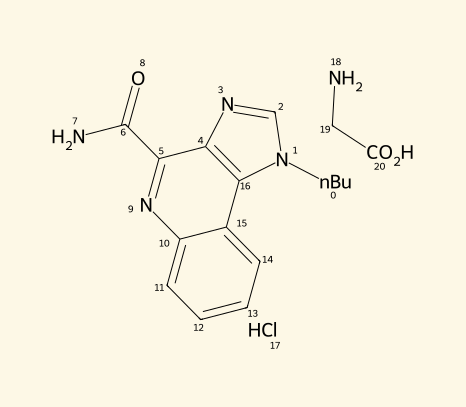 CCCCn1cnc2c(C(N)=O)nc3ccccc3c21.Cl.NCC(=O)O